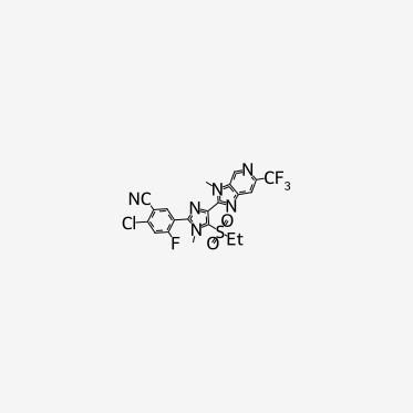 CCS(=O)(=O)c1c(-c2nc3cc(C(F)(F)F)ncc3n2C)nc(-c2cc(C#N)c(Cl)cc2F)n1C